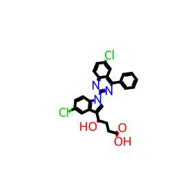 O=C(O)CCC(O)c1cn(-c2nc(-c3ccccc3)c3cc(Cl)ccc3n2)c2ccc(Cl)cc12